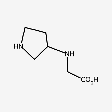 O=C(O)CNC1CCNC1